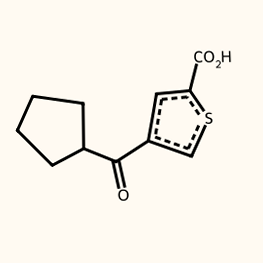 O=C(O)c1cc(C(=O)C2CCCC2)cs1